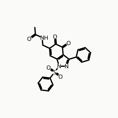 CC(=O)NCC1=Cc2c(c(-c3ccccc3)nn2S(=O)(=O)c2ccccc2)C(=O)C1=O